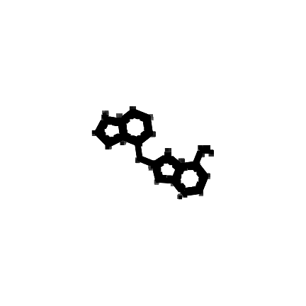 Nc1ccnc2cn(Cc3cccn4nccc34)nc12